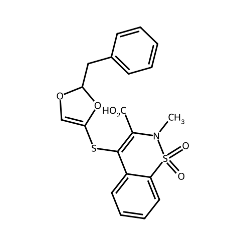 CN1C(C(=O)O)=C(SC2=COC(Cc3ccccc3)O2)c2ccccc2S1(=O)=O